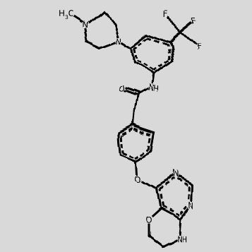 CN1CCN(c2cc(NC(=O)c3ccc(Oc4ncnc5c4OCCN5)cc3)cc(C(F)(F)F)c2)CC1